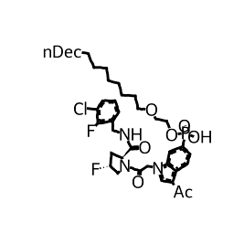 CCCCCCCCCCCCCCCCCCOCCOP(=O)(O)c1ccc2c(C(C)=O)cn(CC(=O)N3C[C@H](F)C[C@H]3C(=O)NCc3cccc(Cl)c3F)c2c1